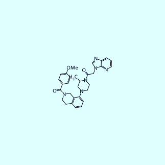 COc1ccc(C(=O)N2CCc3cccc(N4CCN(C(=O)Cn5cnc6cccnc65)C(C)C4)c3C2)cc1